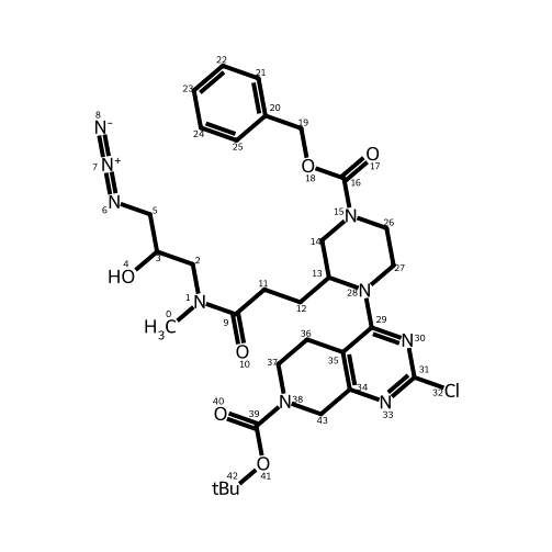 CN(CC(O)CN=[N+]=[N-])C(=O)CCC1CN(C(=O)OCc2ccccc2)CCN1c1nc(Cl)nc2c1CCN(C(=O)OC(C)(C)C)C2